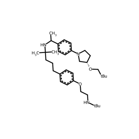 CC(NC(C)(C)CCCc1ccc(OCCNC(C)(C)C)cc1)c1ccc(N2CC[C@H](OCC(C)(C)C)C2)cc1